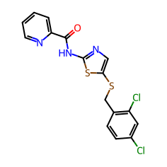 O=C(Nc1ncc(SCc2ccc(Cl)cc2Cl)s1)c1ccccn1